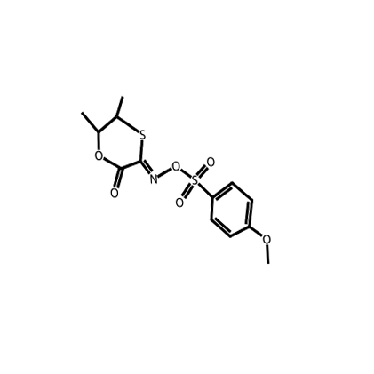 COc1ccc(S(=O)(=O)O/N=C2\SC(C)C(C)OC2=O)cc1